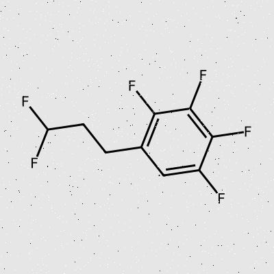 Fc1[c]c(CCC(F)F)c(F)c(F)c1F